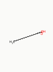 CCCCCCCCCCCCCCCCCCCCCCC=CC=CC(=O)O